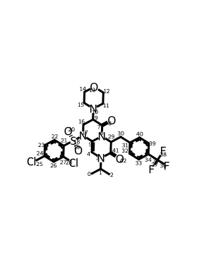 CC(C)N1C=C2N(C(=O)C(N3CCOCC3)CN2S(=O)(=O)c2ccc(Cl)cc2Cl)C(Cc2ccc(C(F)(F)F)cc2)C1=O